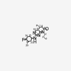 CCCn1c(=O)cc(C)c2cnc(Nc3ccc(F)c(C)c3)nc21